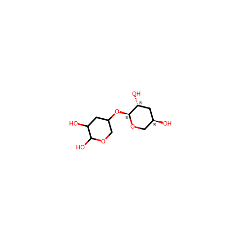 OC1CC(O[C@@H]2OC[C@H](O)C[C@H]2O)COC1O